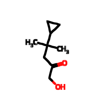 CC(C)(CC(=O)CO)C1CC1